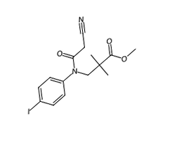 COC(=O)C(C)(C)CN(C(=O)CC#N)c1ccc(I)cc1